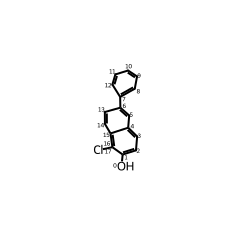 Oc1ccc2cc(-c3ccccc3)ccc2c1Cl